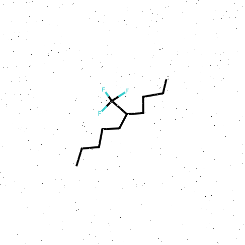 [CH2]CCCC(CCCCC)C(F)(F)F